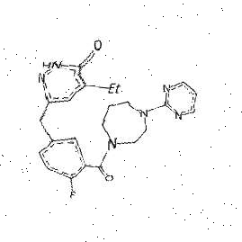 CCc1cc(Cc2ccc(F)c(C(=O)N3CCCN(c4ncccn4)CC3)c2)n[nH]c1=O